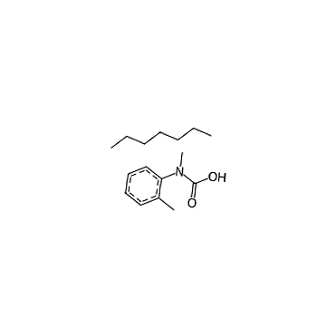 CCCCCCC.Cc1ccccc1N(C)C(=O)O